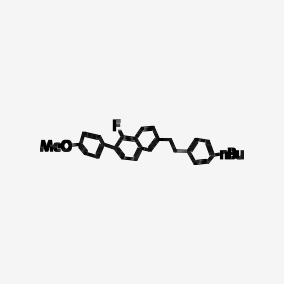 CCCCc1ccc(CCc2ccc3c(F)c(-c4ccc(OC)cc4)ccc3c2)cc1